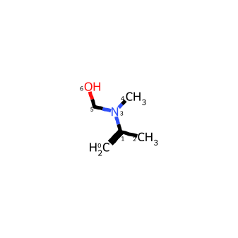 C=C(C)N(C)CO